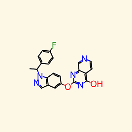 CC(c1ccc(F)cc1)n1ncc2cc(Oc3nc(O)c4ccncc4n3)ccc21